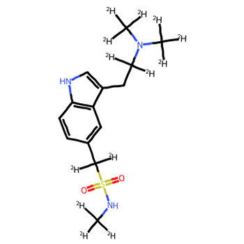 [2H]C([2H])([2H])NS(=O)(=O)C([2H])([2H])c1ccc2[nH]cc(CC([2H])([2H])N(C([2H])([2H])[2H])C([2H])([2H])[2H])c2c1